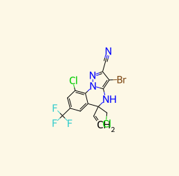 C=CC1(CCl)Nc2c(Br)c(C#N)nn2-c2c(Cl)cc(C(F)(F)F)cc21